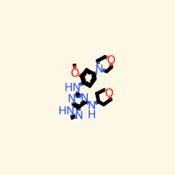 COc1cc(N2CCOCC2)ccc1Nc1nc(NC2CCOCC2)c2nc[nH]c2n1